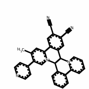 Cc1cc2[n+](cc1-c1ccncc1)C1c3ccccc3-c3cccc[n+]3C1c1cc(C#N)c(C#N)cc1-2